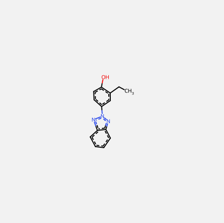 CCc1cc(-n2nc3ccccc3n2)ccc1O